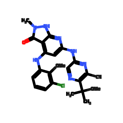 COc1c(Cl)cccc1Nc1cc(Nc2cnc(C(C)(C)OC)c(C#N)n2)nc2[nH]n(C)c(=O)c12